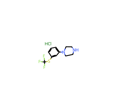 Cl.FC(F)(F)Sc1cccc(N2CCNCC2)c1